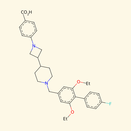 CCOc1cc(CN2CCC(C3CN(c4ccc(C(=O)O)cc4)C3)CC2)cc(OCC)c1-c1ccc(F)cc1